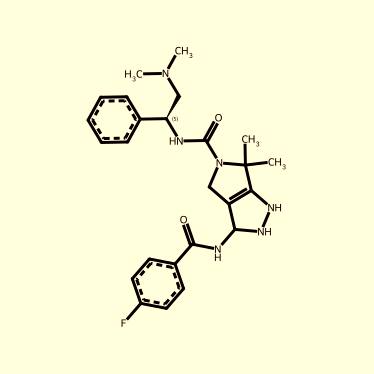 CN(C)C[C@@H](NC(=O)N1CC2=C(NNC2NC(=O)c2ccc(F)cc2)C1(C)C)c1ccccc1